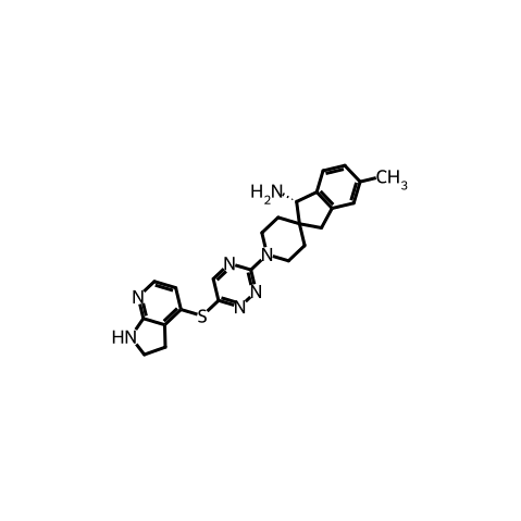 Cc1ccc2c(c1)CC1(CCN(c3ncc(Sc4ccnc5c4CCN5)nn3)CC1)[C@@H]2N